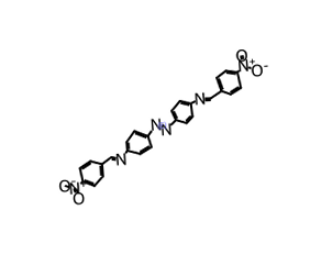 O=[N+]([O-])c1ccc(C=Nc2ccc(/N=N/c3ccc(N=Cc4ccc([N+](=O)[O-])cc4)cc3)cc2)cc1